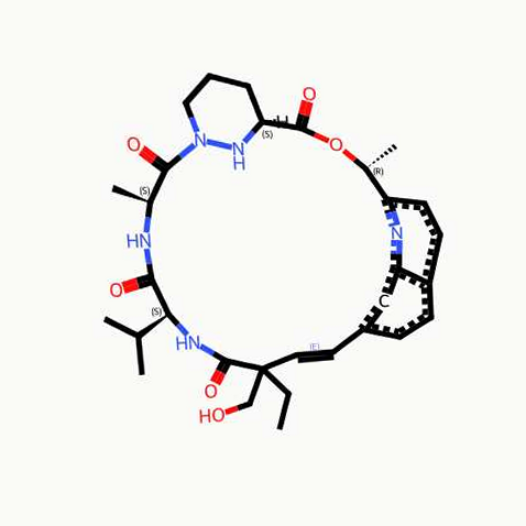 CCC1(CO)/C=C/c2ccc3ccc(nc3c2)[C@@H](C)OC(=O)[C@@H]2CCCN(N2)C(=O)[C@H](C)NC(=O)[C@H](C(C)C)NC1=O